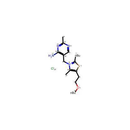 CCCCOCCc1sc(CCCC)[n+](Cc2cnc(C)nc2N)c1C.[Cl-]